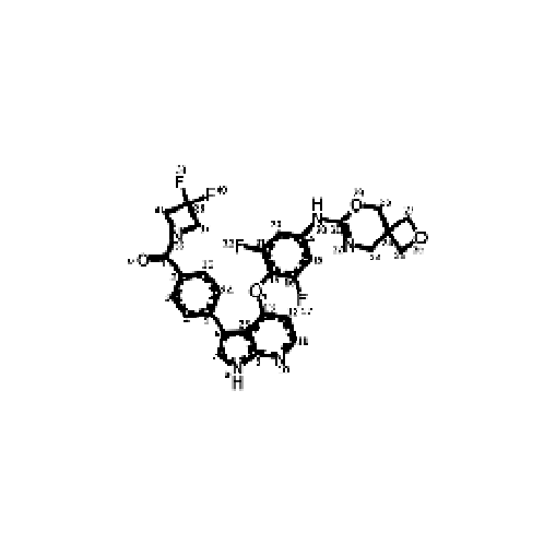 O=C(c1ccc(-c2c[nH]c3nccc(Oc4c(F)cc(NC5=NCC6(COC6)CO5)cc4F)c23)cc1)N1CC(F)(F)C1